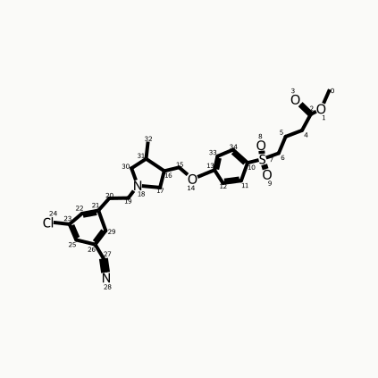 COC(=O)CCCS(=O)(=O)c1ccc(OCC2CN(CCc3cc(Cl)cc(C#N)c3)CC2C)cc1